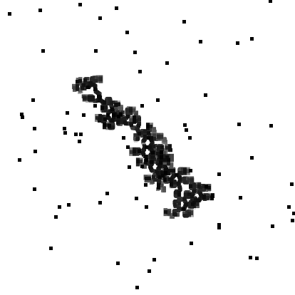 C=CC(C)(O)CCC=C(CO)C(=O)O[C@@H]1C(C)O[C@@H](O[C@](C)(C=C)CCC=C(CO)C(=O)OC2CC3C(O)CC4(C)C(=CC(O)C5C6(C)CCC(O[C@@H]7OC(CO[C@@H]8OC(C)[C@H](O)[C@H](O)[C@@H]8O[C@@H]8OC[C@@H](O)[C@H](O)[C@@H]8O)[C@@H](O)[C@H](O)[C@@H]7NC(C)=O)C(C)(C)C6CCC54C)C3(C(=O)O)CC2(C)C)[C@@H](O)[C@H]1O